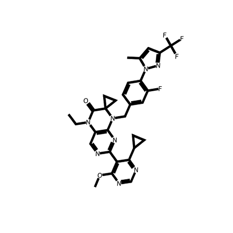 CCN1C(=O)C2(CC2)N(Cc2ccc(-n3nc(C(F)(F)F)cc3C)c(F)c2)c2nc(-c3c(OC)ncnc3C3CC3)ncc21